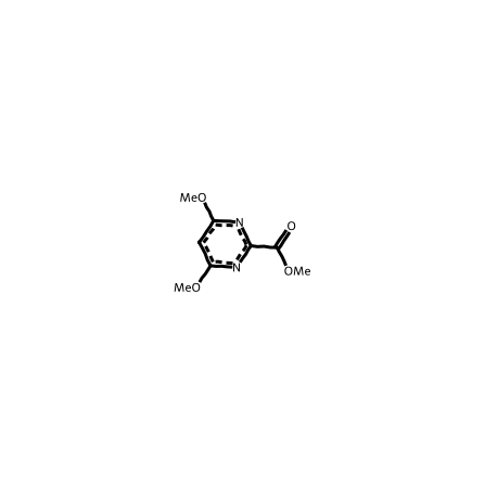 COC(=O)c1nc(OC)cc(OC)n1